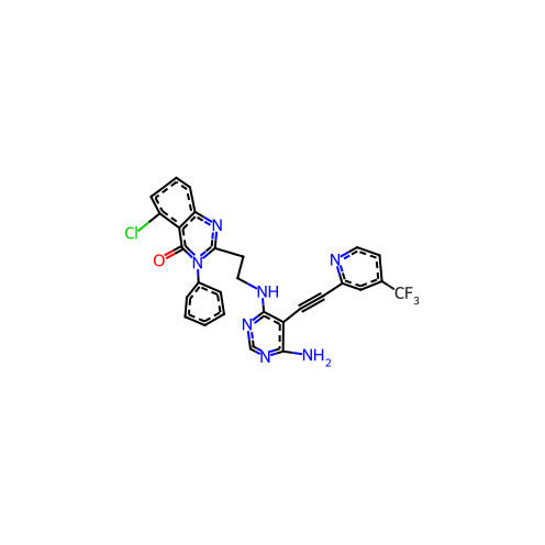 Nc1ncnc(NCCc2nc3cccc(Cl)c3c(=O)n2-c2ccccc2)c1C#Cc1cc(C(F)(F)F)ccn1